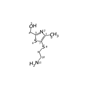 Cc1nc(CO)sc1SCCN